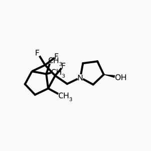 CC1(C)C2CCC1(C)C(F)(CN1CC[C@@H](O)C1)C2(F)F